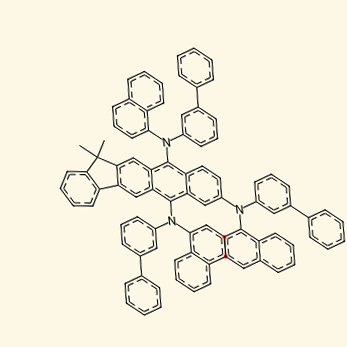 CC1(C)c2ccccc2-c2cc3c(N(c4cccc(-c5ccccc5)c4)c4cccc5ccccc45)c4cc(N(c5cccc(-c6ccccc6)c5)c5cccc6ccccc56)ccc4c(N(c4cccc(-c5ccccc5)c4)c4cccc5ccccc45)c3cc21